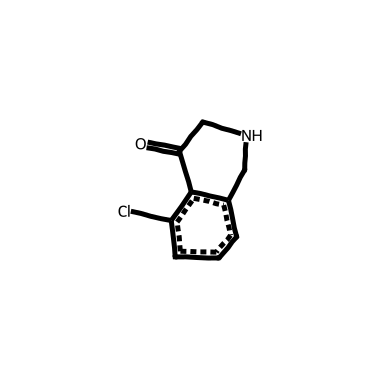 O=C1CNCc2cccc(Cl)c21